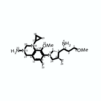 COCC[C@@H](N)[C@H]1CN(c2c(F)cc3c(c2OC)N(C2CC2)CN(N)C3)C[C@@H]1F